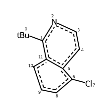 CC(C)(C)c1nccc2c(Cl)cccc12